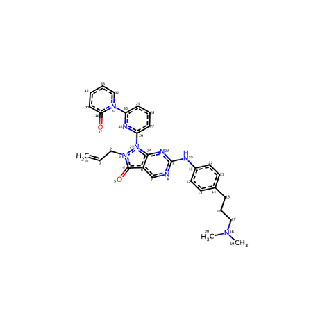 C=CCn1c(=O)c2cnc(Nc3ccc(CCCN(C)C)cc3)nc2n1-c1cccc(-n2ccccc2=O)n1